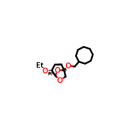 CCO[C@@H]1CC[C@]2(OCC3CCCCCCC3)COC1O2